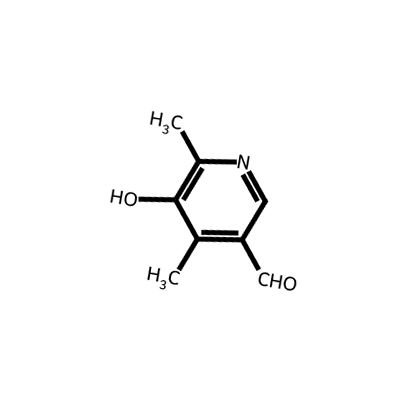 Cc1ncc(C=O)c(C)c1O